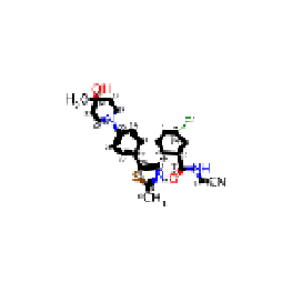 Cc1nc([C@@H]2CC[C@H](F)CC2C(=O)NCC#N)c(-c2ccc(N3CCC(C)(O)CC3)cc2)s1